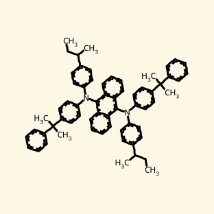 CCC(C)c1ccc(N(c2ccc(C(C)(C)c3ccccc3)cc2)c2c3ccccc3c(N(c3ccc(C(C)CC)cc3)c3ccc(C(C)(C)c4ccccc4)cc3)c3ccccc23)cc1